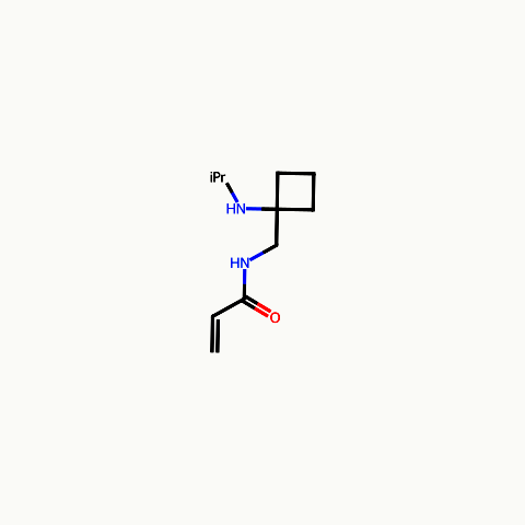 C=CC(=O)NCC1(NC(C)C)CCC1